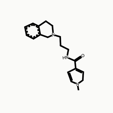 CN1C=CC(C(=O)NCCCN2CCc3ccccc3C2)=CC1